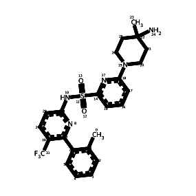 Cc1ccccc1-c1nc(NS(=O)(=O)c2cccc(N3CCC(C)(N)CC3)n2)ccc1C(F)(F)F